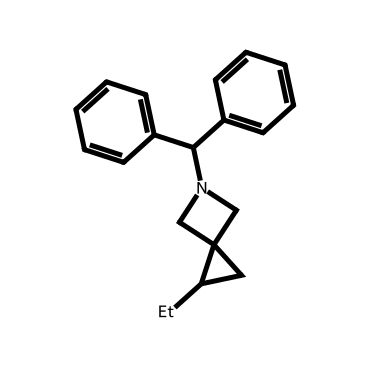 CCC1CC12CN(C(c1ccccc1)c1ccccc1)C2